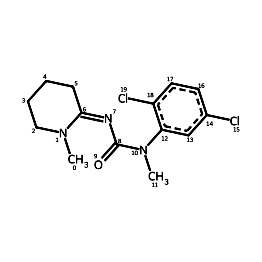 CN1CCCCC1=NC(=O)N(C)c1cc(Cl)ccc1Cl